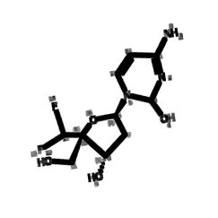 NC1=NC(O)N([C@H]2C[C@H](O)[C@](CO)(C(F)F)O2)C=C1